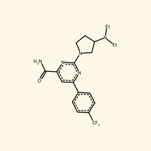 CCN(CC)C1CCN(c2nc(C(N)=O)cc(-c3ccc(C(F)(F)F)cc3)n2)C1